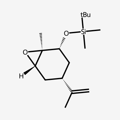 C=C(C)[C@@H]1C[C@@H]2O[C@@]2(C)[C@H](O[Si](C)(C)C(C)(C)C)C1